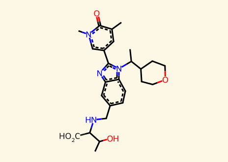 Cc1cc(-c2nc3cc(CNC(C(=O)O)C(C)O)ccc3n2C(C)C2CCOCC2)cn(C)c1=O